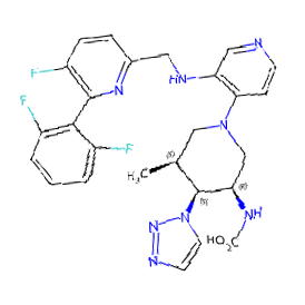 C[C@H]1CN(c2ccncc2NCc2ccc(F)c(-c3c(F)cccc3F)n2)C[C@@H](NC(=O)O)[C@H]1n1ccnn1